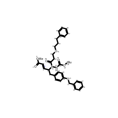 COC(=O)/C=C/C(Cc1ccc(OCc2ccccc2)cc1)N(NC(=O)OC(C)(C)C)C(=O)CCOCCCc1ccccc1